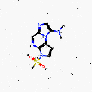 CN(C)c1cnc2cnc3c(ccn3S(C)(=O)=O)n12